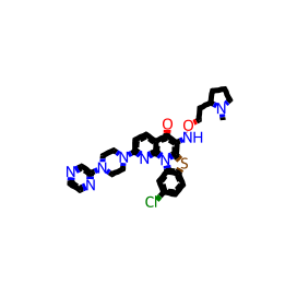 CN1CCCC1CCONc1c(=O)c2ccc(N3CCN(c4cnccn4)CC3)nc2n2c1sc1ccc(Cl)cc12